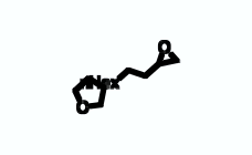 C1CCOC1.CCCCCCCCC1CO1